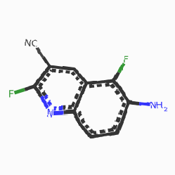 N#Cc1cc2c(F)c(N)ccc2nc1F